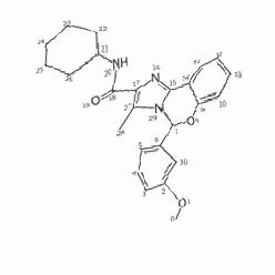 COc1cccc(C2Oc3ccccc3-c3nc(C(=O)NC4CCCCC4)c(C)n32)c1